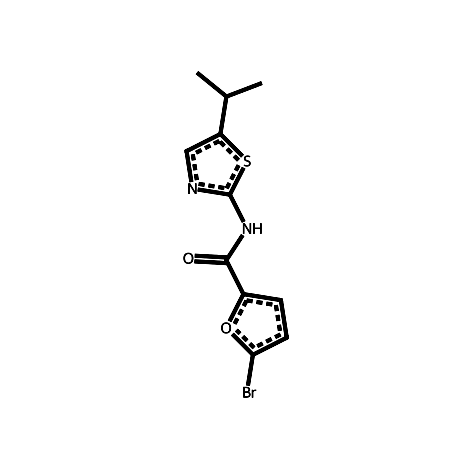 CC(C)c1cnc(NC(=O)c2ccc(Br)o2)s1